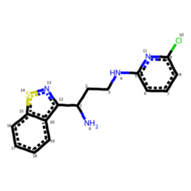 NC(CCNc1cccc(Cl)n1)c1nsc2ccccc12